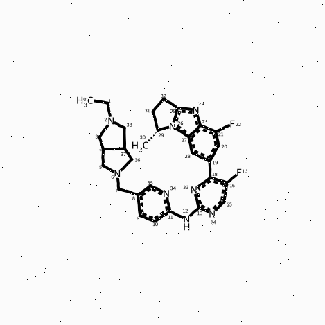 CCN1CC2CN(Cc3ccc(Nc4ncc(F)c(-c5cc(F)c6nc7n(c6c5)[C@H](C)CC7)n4)nc3)CC2C1